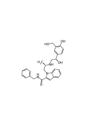 C[C@H](Cn1c(C(=O)NCc2ccccc2)cc2ccccc21)NC[C@H](O)c1ccc(O)c(CO)c1